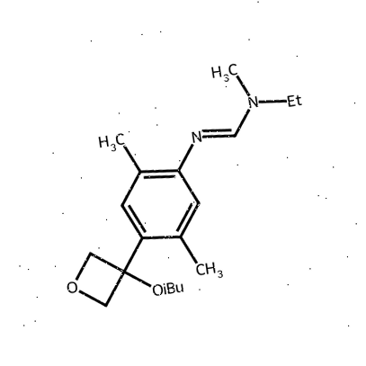 CCN(C)C=Nc1cc(C)c(C2(OCC(C)C)COC2)cc1C